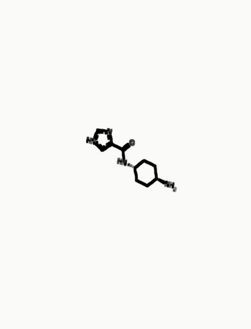 N[C@H]1CC[C@H](NC(=O)c2c[nH]cn2)CC1